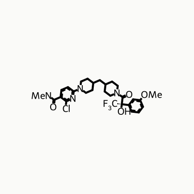 CNC(=O)c1ccc(N2CCC(CC3CCN(C(=O)[C@](O)(c4cccc(OC)c4)C(F)(F)F)CC3)CC2)nc1Cl